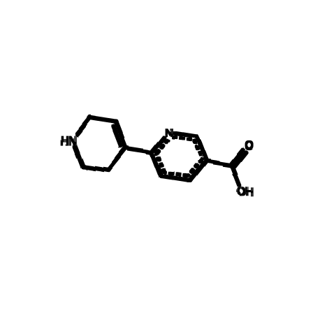 O=C(O)c1ccc(C2=CCNCC2)nc1